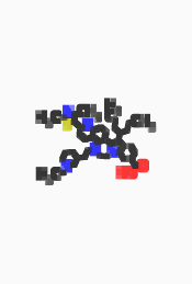 CCCC(CCC)c1c2n(c3cc(C(=O)O)ccc13)CCN(CCC1CCCN(CC)C1)c1c-2ccc2nc(-c3sc(C)nc3C)ccc12